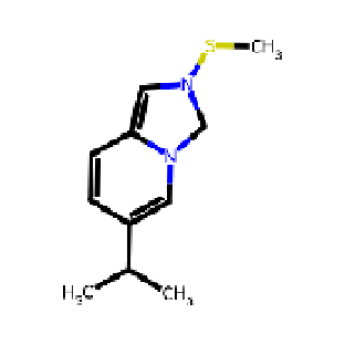 CSN1C=C2C=CC(C(C)C)=CN2C1